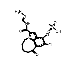 CS(=O)(=O)O.NN=CNC(=O)c1cc2c(Cl)c(Cl)cc3c2n1CCCCC3=O